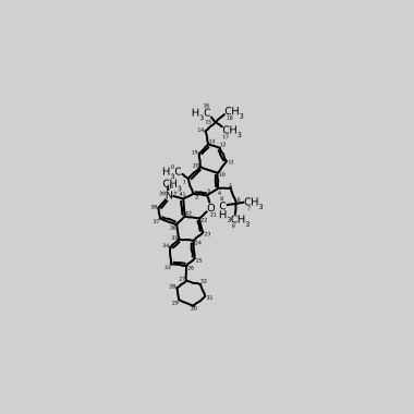 Cc1c2c(c(CC(C)(C)C)c3ccc(CC(C)(C)C)cc13)Oc1cc3cc(C4CCCCC4)ccc3c3cc[n+](C)c-2c13